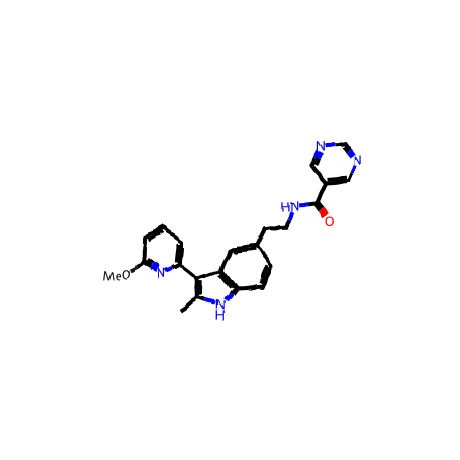 COc1cccc(-c2c(C)[nH]c3ccc(CCNC(=O)c4cncnc4)cc23)n1